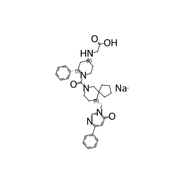 O=C(O)CN[C@@H]1CCN(C(=O)N2CC[C@@H](Cn3cnc(-c4ccccc4)cc3=O)C3(CCCC3)C2)[C@H](c2ccccc2)C1.[Na]